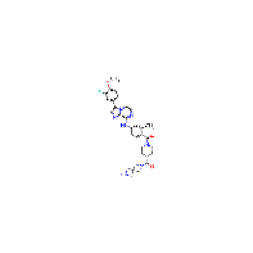 COc1ccc(-c2cnc3c(Nc4ccc(C(=O)N5CCC(C(=O)N6CC7(CNC7)C6)CC5)c(C)c4)nccn23)cc1F